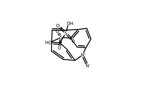 [N-]=[N+]1c2ccc(c(S(=O)(=O)O)c2)/C=C/c2ccc1cc2S(=O)(=O)O